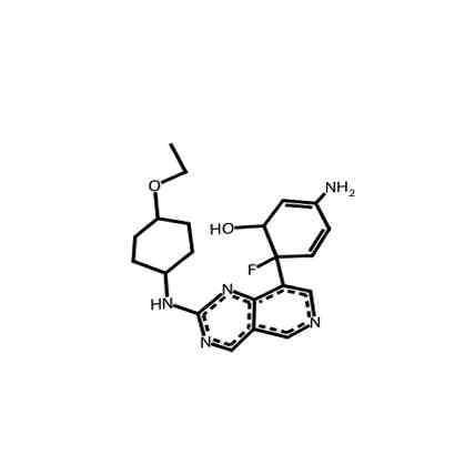 CCOC1CCC(Nc2ncc3cncc(C4(F)C=CC(N)=CC4O)c3n2)CC1